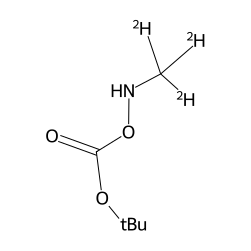 [2H]C([2H])([2H])NOC(=O)OC(C)(C)C